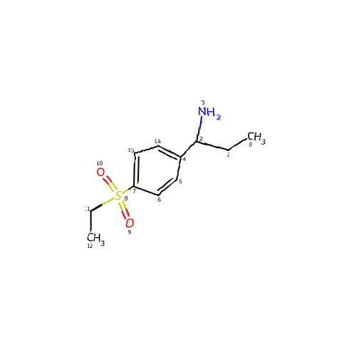 CCC(N)c1ccc(S(=O)(=O)CC)cc1